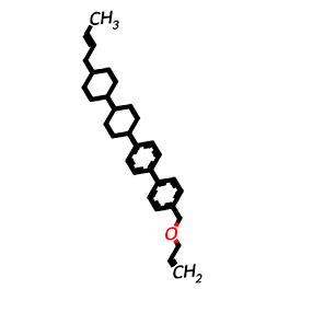 C=CCOCc1ccc(-c2ccc(C3CCC(C4CCC(C/C=C/C)CC4)CC3)cc2)cc1